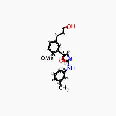 COc1ccc(CCCO)cc1-c1cnc(Nc2cccc(C)c2)o1